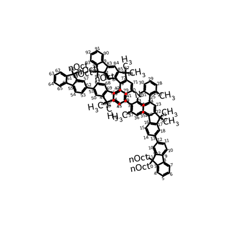 CCCCCCCCC1(CCCCCCCC)c2ccccc2-c2ccc(-c3ccc4c(c3)C(C)(C)c3cc(-c5c(C)cccc5N(c5cccc(C)c5-c5ccc6c(c5)C(C)(C)c5cc(-c7ccc8c(c7)C(CCCCCCCC)(CCCCCCCC)c7ccccc7-8)ccc5-6)c5cc6c(c7ccccc57)-c5cc7c(cc5C6(C)C)-c5ccccc5C7(CCCCCCCC)CCCCCCCC)ccc3-4)cc21